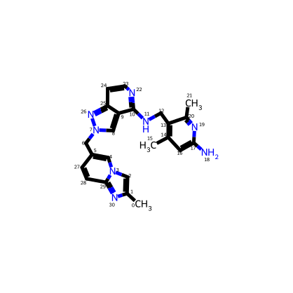 Cc1cn2cc(Cn3cc4c(NCc5c(C)cc(N)nc5C)nccc4n3)ccc2n1